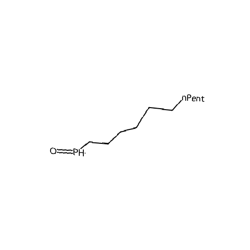 CCCCCCCCCCC[PH]=O